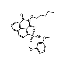 CCCCCON1C(=O)c2cccc3ccc(S(=O)(=O)O)c(c23)C1=O.COc1cccc(OC)c1